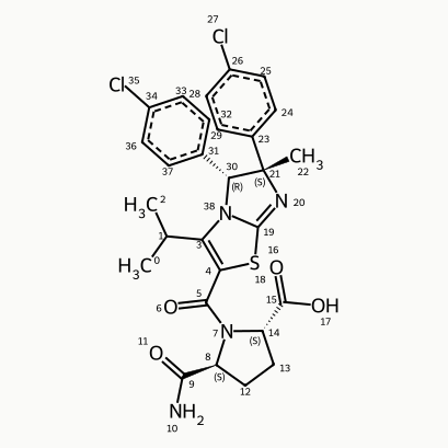 CC(C)C1=C(C(=O)N2[C@H](C(N)=O)CC[C@H]2C(=O)O)SC2=N[C@@](C)(c3ccc(Cl)cc3)[C@@H](c3ccc(Cl)cc3)N21